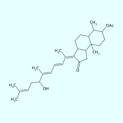 CC(=O)OC1CCC2(C)C3CC(=O)\C(=C(C)/C=C/C=C(\C)C(O)CC=C(C)C)C3CCC2C1C